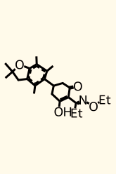 CCON=C(CC)C1=C(O)CC(c2c(C)c(C)c3c(c2C)CC(C)(C)O3)CC1=O